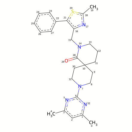 Cc1cc(C)nc(N2CCC3(CCCN(Cc4nc(C)sc4-c4ccccc4)C3=O)CC2)n1